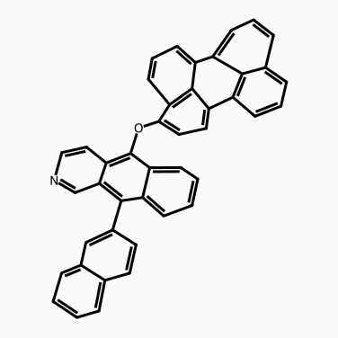 c1ccc2cc(-c3c4ccccc4c(Oc4ccc5c6cccc7cccc(c8cccc4c85)c76)c4ccncc34)ccc2c1